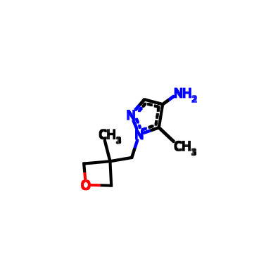 Cc1c(N)cnn1CC1(C)COC1